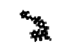 Cn1ccnc1SCCCS(=O)(=O)N1CCC(Nc2nc(N)c(C(=O)c3c(F)cccc3F)s2)CC1